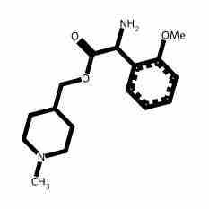 COc1ccccc1C(N)C(=O)OCC1CCN(C)CC1